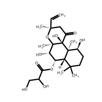 C=C[C@@]1(C)CC(=O)[C@]2(O)[C@@]3(C)[C@@H](O)CCC(C)(C)[C@@H]3[C@H](OC(=O)C(O)CO)[C@H](O)[C@@]2(C)O1